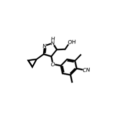 Cc1cc(OC2C(C3CC3)=NNC2CO)cc(C)c1C#N